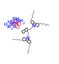 CCCCCCc1ccc2c(c1)c1cc(CCCCCC)ccc1n2CCCc1ccc2ccccc2c1CCCn1c2ccc(CCCCCC)cc2c2cc(CCCCCC)ccc21.NC(=O)NC(N)=O.NC(=O)NC(N)=O